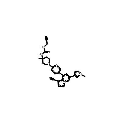 C#CCNC(=O)NC1(C)CCN(c2ccc(-c3cc(-c4cnn(C)c4)cn4ncc(C#N)c34)cn2)CC1